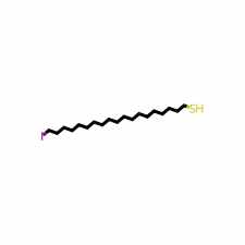 SCCCCCCCCCCCCCCCCCCCI